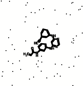 C#Cc1cccc(Nc2cc(Nc3cccc(NC(=O)C=C)c3)ncn2)c1